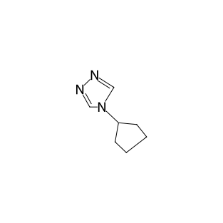 c1nncn1C1CCCC1